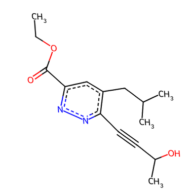 CCOC(=O)c1cc(CC(C)C)c(C#CC(C)O)nn1